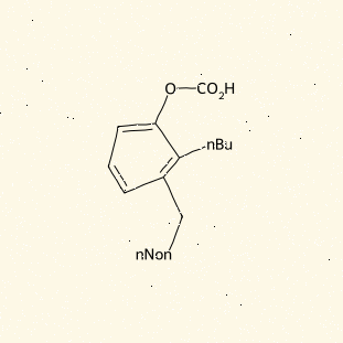 CCCCCCCCCCc1cccc(OC(=O)O)c1CCCC